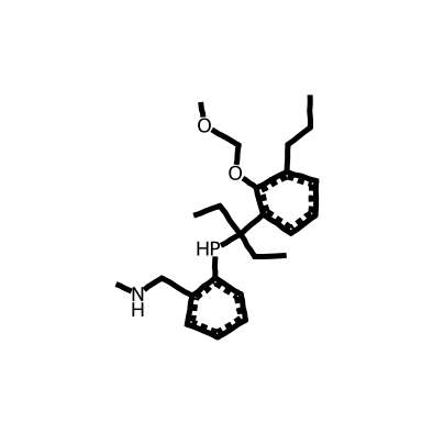 CCCc1cccc(C(CC)(CC)Pc2ccccc2CNC)c1OCOC